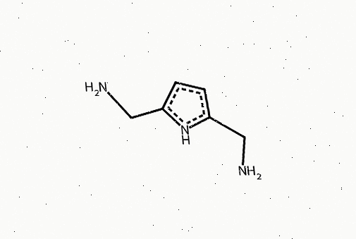 NCc1ccc(CN)[nH]1